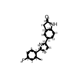 Cc1cc(F)ccc1-c1nc(-c2ccc3c(c2)CC(=O)N3)cs1